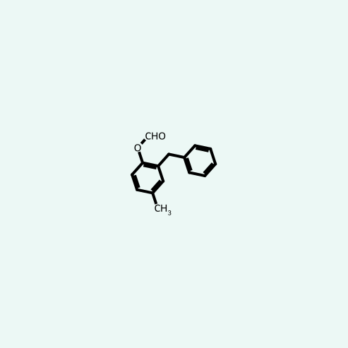 Cc1ccc(OC=O)c(Cc2ccccc2)c1